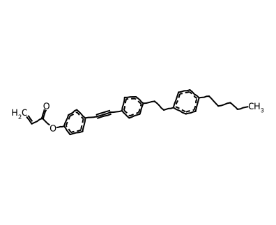 C=CC(=O)Oc1ccc(C#Cc2ccc(CCc3ccc(CCCCC)cc3)cc2)cc1